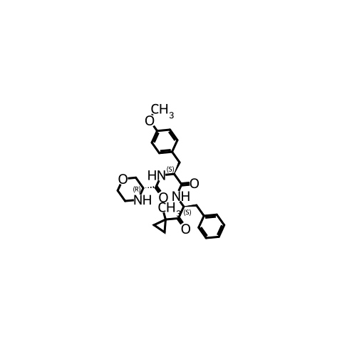 COc1ccc(C[C@H](NC(=O)[C@H]2COCCN2)C(=O)N[C@@H](Cc2ccccc2)C(=O)C2(C)CC2)cc1